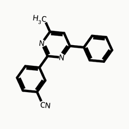 Cc1cc(-c2ccccc2)nc(-c2cccc(C#N)c2)n1